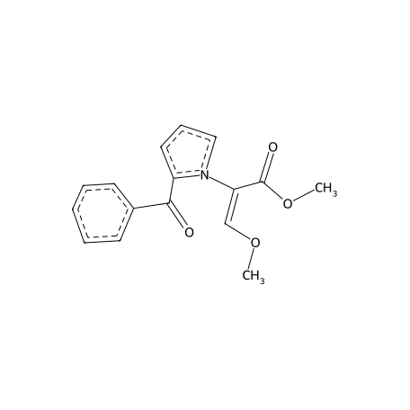 CO/C=C(\C(=O)OC)n1cccc1C(=O)c1ccccc1